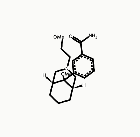 COCCN1C[C@H]2CCC[C@@H](C1)C2(OC)c1cccc(C(N)=O)c1